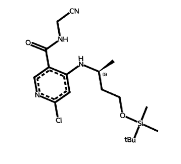 C[C@@H](CCO[Si](C)(C)C(C)(C)C)Nc1cc(Cl)ncc1C(=O)NCC#N